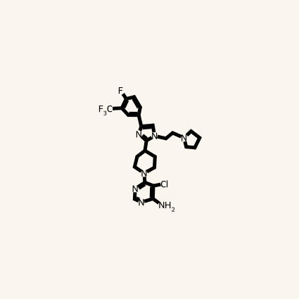 Nc1ncnc(N2CCC(c3nc(-c4ccc(F)c(C(F)(F)F)c4)cn3CCN3CCCC3)CC2)c1Cl